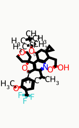 COc1cc([C@H]2OC3(CCOCC3)c3c2c(C(C)C)nc2c3[C@@H](O[Si](C)(C)C(C)(C)C)CC3(CC3)C2CC(=O)O)ccc1C(F)(F)F